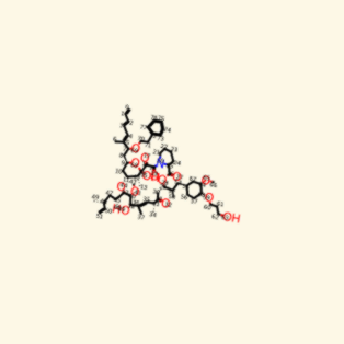 C=C/C=C/C=C(\C)C(C[C@@H]1CC[C@@H](C)[C@](O)(C(=O)C(=O)N2CCCCC2C(=O)O[C@@H](CC(=O)[C@H](C)/C=C(\C)[C@@H](O)[C@@H](OC)C(=O)[C@H](C)C[C@@H](C)C=C)[C@H](C)C[C@@H]2CC[C@@H](OCCCO)[C@H](OC)C2)O1)OCCc1ccccc1